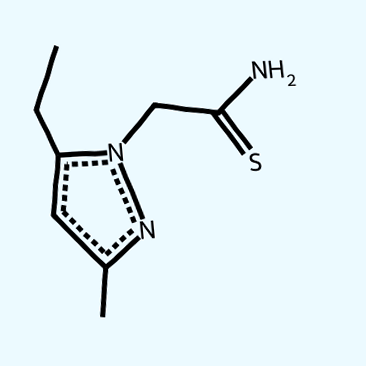 CCc1cc(C)nn1CC(N)=S